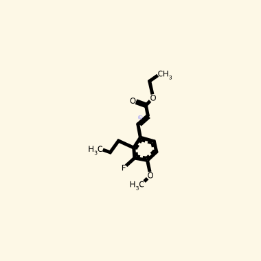 CCCc1c(/C=C/C(=O)OCC)ccc(OC)c1F